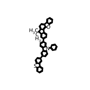 CC1(C)c2cc(-c3ccc4c5cc(-c6ccc7sc8ccccc8c7c6)ccc5n(-c5ccccc5)c4c3)ccc2-c2c1ccc1c2oc2ccccc21